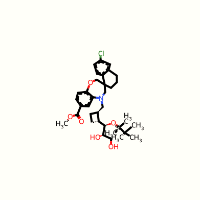 COC(=O)c1ccc2c(c1)N(C[C@@H]1CC[C@H]1[C@@H](O[Si](C)(C)C(C)(C)C)[C@@H](O)CO)CC1(CCCc3cc(Cl)ccc31)CO2